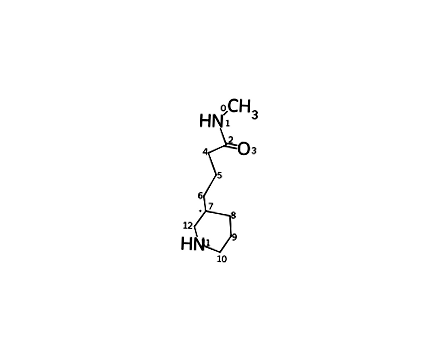 CNC(=O)CCC[C]1CCCNC1